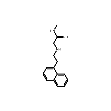 CNC(=N)CNCCc1cccc2ccccc12